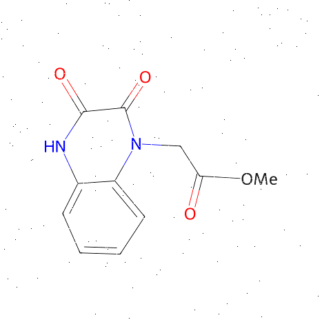 COC(=O)Cn1c(=O)c(=O)[nH]c2ccccc21